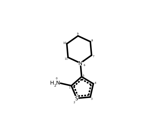 Nc1sccc1N1CCCCC1